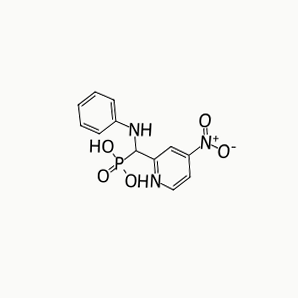 O=[N+]([O-])c1ccnc(C(Nc2ccccc2)P(=O)(O)O)c1